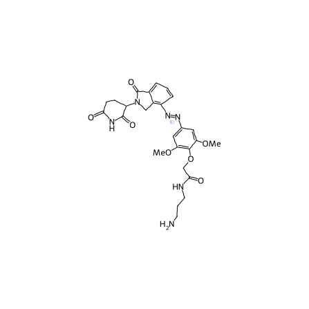 COc1cc(/N=N/c2cccc3c2CN(C2CCC(=O)NC2=O)C3=O)cc(OC)c1OCC(=O)NCCCN